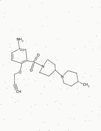 C#CCOc1ccc(N)cc1S(=O)(=O)N1CCC(N2CCC(C)CC2)CC1